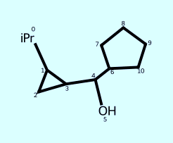 CC(C)C1CC1C(O)C1CCCC1